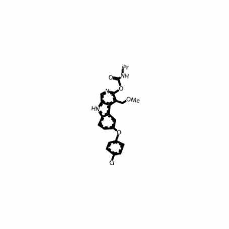 COCc1c(OC(=O)NC(C)C)ncc2[nH]c3ccc(Oc4ccc(Cl)cc4)cc3c12